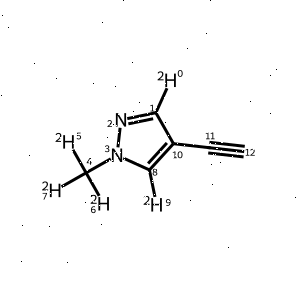 [2H]c1nn(C([2H])([2H])[2H])c([2H])c1C#C